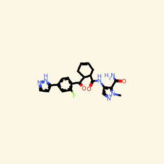 Cn1ncc(NC(=O)C2CC=CCC2C(=O)c2ccc(-c3ccn[nH]3)cc2F)c1C(N)=O